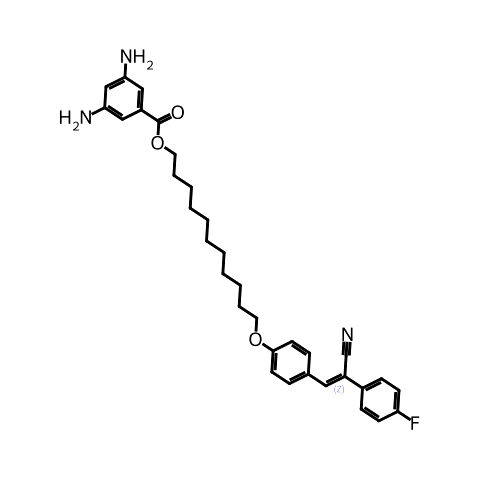 N#C/C(=C\c1ccc(OCCCCCCCCCCCOC(=O)c2cc(N)cc(N)c2)cc1)c1ccc(F)cc1